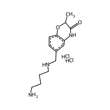 CC1Oc2ccc(CNCCCCN)cc2NC1=O.Cl.Cl